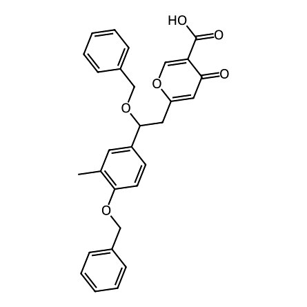 Cc1cc(C(Cc2cc(=O)c(C(=O)O)co2)OCc2ccccc2)ccc1OCc1ccccc1